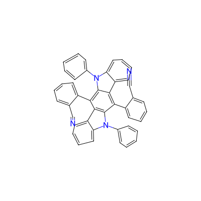 N#Cc1ccccc1-c1c2c3ccccc3n(-c3ccccc3)c2c(-c2ccccc2C#N)c2c3ccccc3n(-c3ccccc3)c12